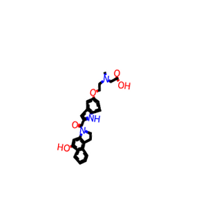 CN(CCOc1ccc2[nH]c(C(=O)N3CCc4c3cc(O)c3ccccc43)cc2c1)CC(=O)O